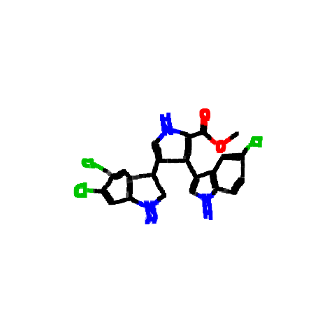 COC(=O)c1[nH]cc(C2CNc3cc(Cl)c(Cl)cc32)c1-c1c[nH]c2ccc(Cl)cc12